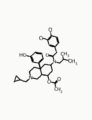 CC(=O)OC1CC(N(CC(C)C)C(=O)Cc2ccc(Cl)c(Cl)c2)CC2(c3cccc(O)c3)CCN(CC3CC3)CC12